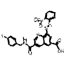 O=C(O)c1cc(SSc2ccccc2[N+](=O)[O-])c2ncc(C(=O)NCc3ccc(F)cc3)cc2c1